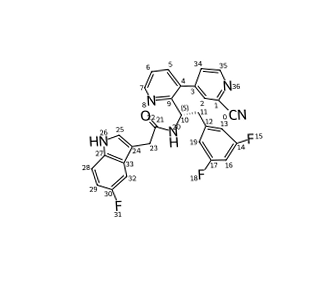 N#Cc1cc(-c2cccnc2[C@H](Cc2cc(F)cc(F)c2)NC(=O)Cc2c[nH]c3ccc(F)cc23)ccn1